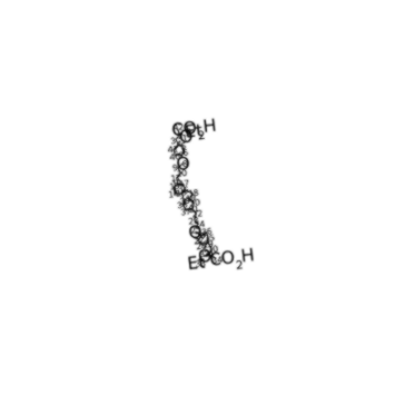 CCOC(Cc1ccc(OCCCc2ccc3c(c2)Cc2cc(CCCOc4ccc(C[C@H](OCC)C(=O)O)cc4)ccc2-3)cc1)C(=O)O